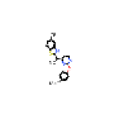 COc1ccc(Oc2nccc(C(C#N)c3nc4cc(C(F)(F)F)ccc4s3)n2)cc1